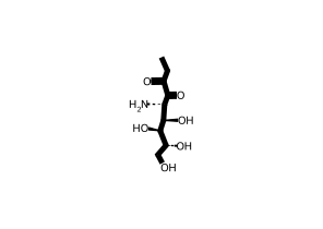 CCC(=O)C(=O)[C@@H](N)[C@@H](O)[C@H](O)[C@H](O)CO